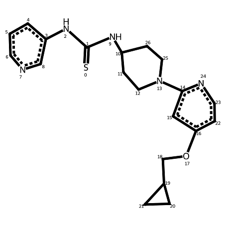 S=C(Nc1cccnc1)NC1CCN(c2cc(OCC3CC3)ccn2)CC1